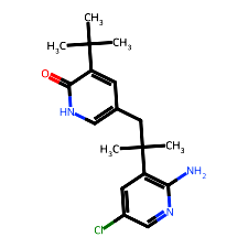 CC(C)(C)c1cc(CC(C)(C)c2cc(Cl)cnc2N)c[nH]c1=O